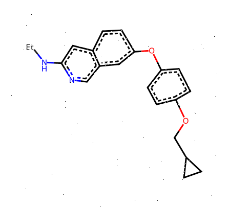 CCNc1cc2ccc(Oc3ccc(OCC4CC4)cc3)cc2cn1